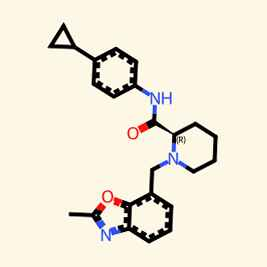 Cc1nc2cccc(CN3CCCC[C@@H]3C(=O)Nc3ccc(C4CC4)cc3)c2o1